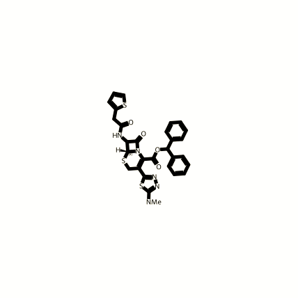 CNc1nnc(C2=C(C(=O)OC(c3ccccc3)c3ccccc3)N3C(=O)C(NC(=O)Cc4cccs4)[C@H]3SC2)s1